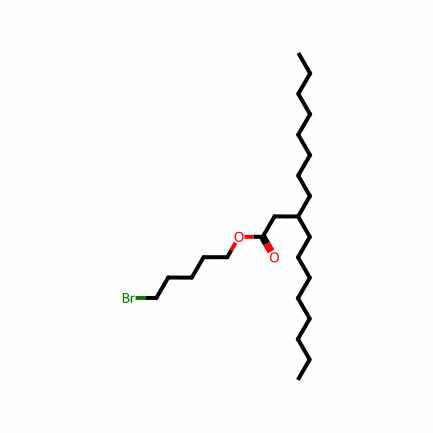 CCCCCCCCC(CCCCCCCC)CC(=O)OCCCCCBr